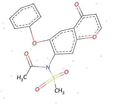 CC(=O)N(c1cc2occc(=O)c2cc1Oc1ccccc1)S(C)(=O)=O